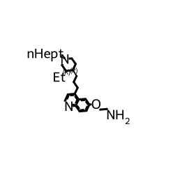 CCCCCCCN1CC[C@@H](CCCc2ccnc3ccc(OCCN)cc23)[C@@H](CC)C1